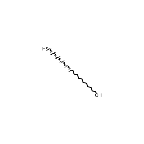 OCCCCCCCCCCCSSSSSSSSSSS